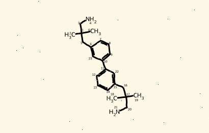 CC(C)(CN)Cc1cccc(-c2cccc(CC(C)(C)CN)c2)c1